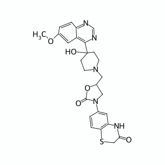 COc1ccc2ncnc(C3(O)CCN(CC4CN(c5ccc6c(c5)NC(=O)CS6)C(=O)O4)CC3)c2c1